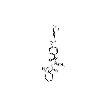 CC#CCOc1ccc(S(=O)(=O)N(C)OC(=O)C2(C)CCCCC2)cc1